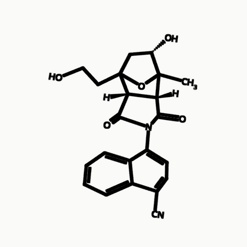 CC12OC(CCO)(C[C@@H]1O)[C@H]1C(=O)N(c3ccc(C#N)c4ccccc34)C(=O)[C@H]12